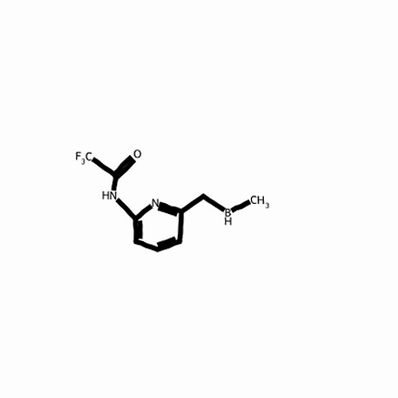 CBCc1cccc(NC(=O)C(F)(F)F)n1